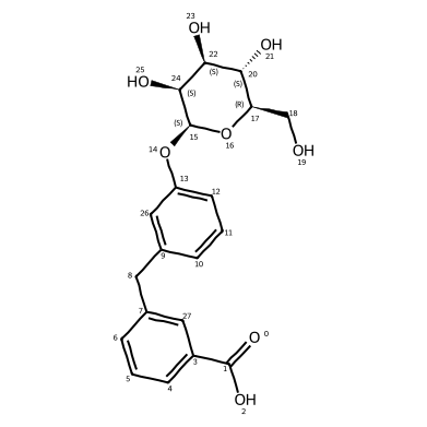 O=C(O)c1cccc(Cc2cccc(O[C@@H]3O[C@H](CO)[C@@H](O)[C@H](O)[C@@H]3O)c2)c1